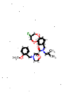 COc1ccccc1CN1CCO[C@@H](C(=O)N(Cc2ccc3c(c2)OCC(F)CO3)CC(C)C)C1